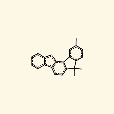 Cc1ccc2c(c1)-c1c(ccc3c1sc1ccccc13)C2(C)C